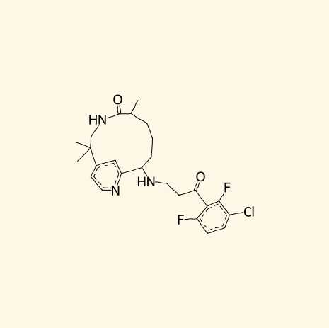 CC1CCCC(NCCC(=O)c2c(F)ccc(Cl)c2F)c2cc(ccn2)C(C)(C)CNC1=O